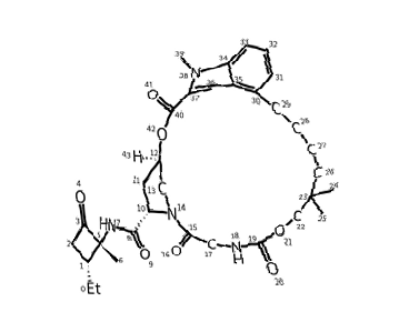 CC[C@@H]1CC(=O)[C@]1(C)NC(=O)[C@@H]1C[C@@H]2CN1C(=O)CNC(=O)OCC(C)(C)CCCCc1cccc3c1cc(n3C)C(=O)O2